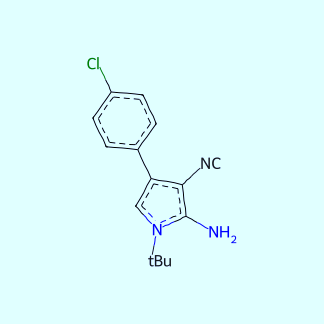 [C-]#[N+]c1c(-c2ccc(Cl)cc2)cn(C(C)(C)C)c1N